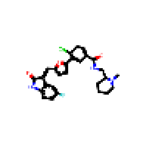 CN1CCCCC1CNC(=O)C1=CCC(Cl)C(c2ccc(/C=C3/C(=O)Nc4ccc(F)cc43)o2)=C1